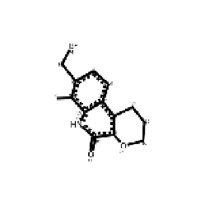 Cc1c(CBr)ccc2c3c(c(=O)[nH]c12)OCCC3